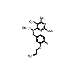 C=CCOc1cc(CN(C(=O)OCC)c2nc(SC)nc(N)c2[N+](=O)[O-])ccc1F